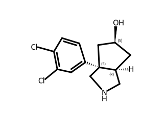 O[C@H]1C[C@H]2CNC[C@@]2(c2ccc(Cl)c(Cl)c2)C1